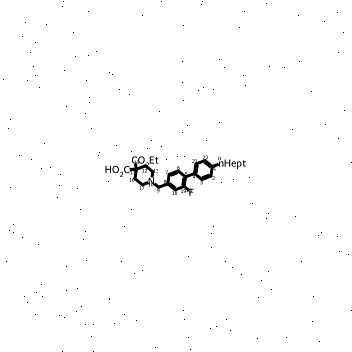 CCCCCCCc1ccc(-c2ccc(CN3CCC(C(=O)O)(C(=O)OCC)CC3)cc2F)cc1